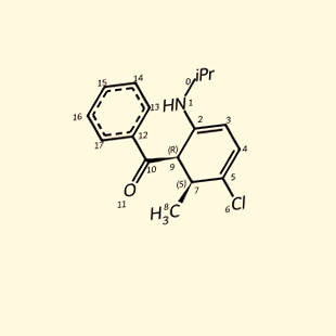 CC(C)NC1=CC=C(Cl)[C@@H](C)[C@H]1C(=O)c1ccccc1